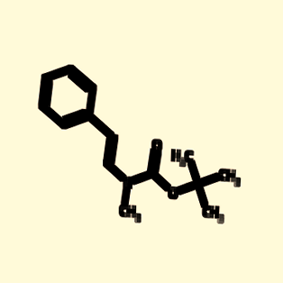 CN(C=Cc1ccccc1)C(=O)OC(C)(C)C